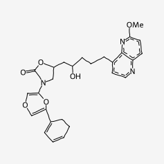 COc1ccc2nccc(CCCC(O)CC3CN(C4=COC=C(C5=CC=CCC5)O4)C(=O)O3)c2n1